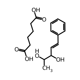 CC(O)C(O)C=Cc1ccccc1.O=C(O)CCCCC(=O)O